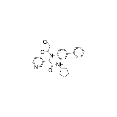 O=C(NC1CCCC1)C(c1cccnc1)N(C(=O)CCl)c1ccc(-c2ccccc2)cc1